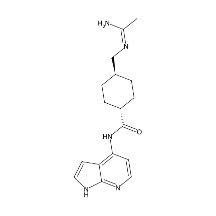 CC(N)=NC[C@H]1CC[C@H](C(=O)Nc2ccnc3[nH]ccc23)CC1